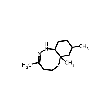 CC1=NNC2CCC(C)CC2(C)SCC1